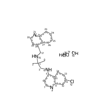 CC(C)(CNc1ccnc2cc(Cl)ccc12)NCc1ccnc2ccccc12.Cl.Cl.Cl